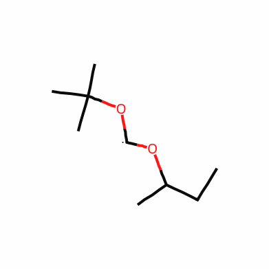 CCC(C)O[CH]OC(C)(C)C